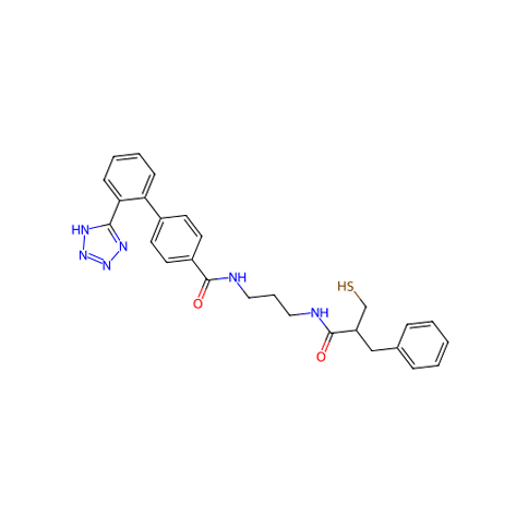 O=C(NCCCNC(=O)C(CS)Cc1ccccc1)c1ccc(-c2ccccc2-c2nnn[nH]2)cc1